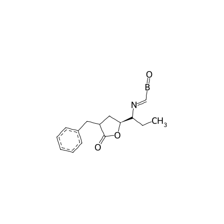 CCC(/N=C/B=O)[C@@H]1CC(Cc2ccccc2)C(=O)O1